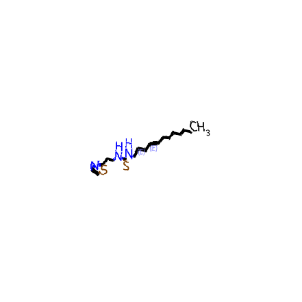 CCCCCCC/C=C/C=C/CNC(=S)NCCc1nccs1